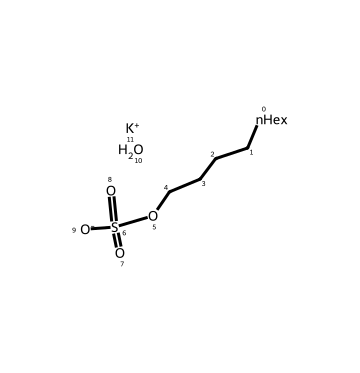 CCCCCCCCCCOS(=O)(=O)[O-].O.[K+]